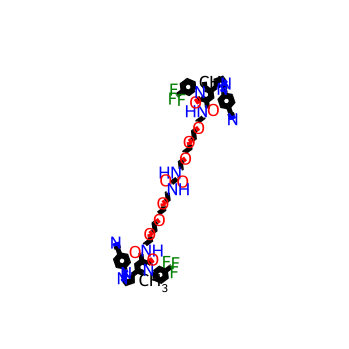 Cc1c(-c2ccnn2-c2ccc(C#N)cc2)cc(C(=O)NCCOCCOCCOCCNC(=O)C(=O)NCCOCCOCCOCCNC(=O)c2cc(-c3ccnn3-c3ccc(C#N)cc3)c(C)n(-c3cccc(C(F)(F)F)c3)c2=O)c(=O)n1-c1cccc(C(F)(F)F)c1